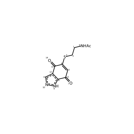 CC(=O)NCCSC1=CC(=O)c2[nH]ncc2C1=O